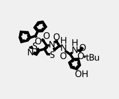 CC(C)(C)OC(=O)NC(C(=O)NC1C(=O)N2C(C(=O)OC(c3ccccc3)c3ccccc3)=C(c3cncs3)CSC12)c1ccc(O)cc1